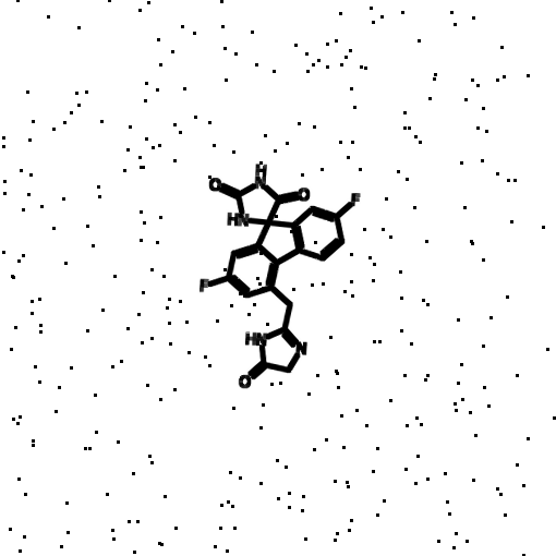 O=C1CN=C(Cc2cc(F)cc3c2-c2ccc(F)cc2C32NC(=O)NC2=O)N1